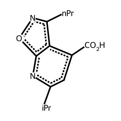 CCCc1noc2nc(C(C)C)cc(C(=O)O)c12